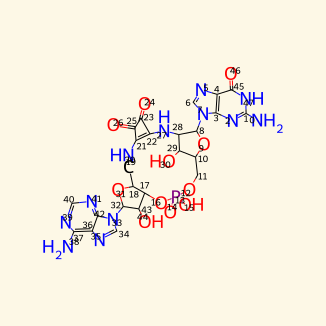 Nc1nc2c(ncn2C2OC3COP(=O)(O)OC4C(CNc5c(c(=O)c5=O)NC2C3O)OC(n2cnc3c(N)ncnc32)C4O)c(=O)[nH]1